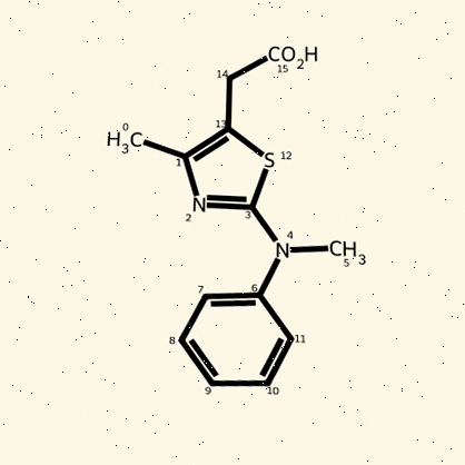 Cc1nc(N(C)c2ccccc2)sc1CC(=O)O